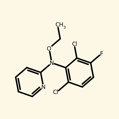 CCON(c1ccccn1)c1c(Cl)ccc(F)c1Cl